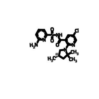 C[C@@H]1CN(c2ncc(Cl)cc2C(=O)NS(=O)(=O)c2cccc(N)n2)C(C)(C)C1